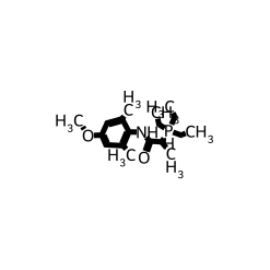 CC[PH](CC)(CC)C(C)C(=O)Nc1c(C)cc(OC)cc1C